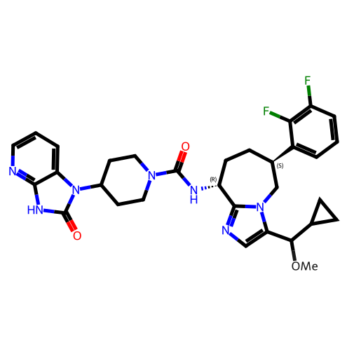 COC(c1cnc2n1C[C@H](c1cccc(F)c1F)CC[C@H]2NC(=O)N1CCC(n2c(=O)[nH]c3ncccc32)CC1)C1CC1